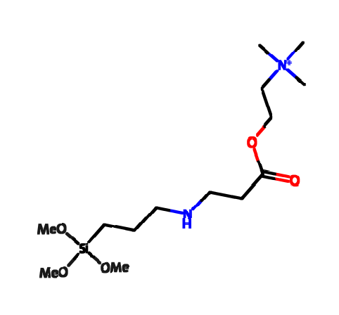 CO[Si](CCCNCCC(=O)OCC[N+](C)(C)C)(OC)OC